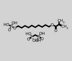 C=C(C)C(=O)OCCCCCCCCCCOP(=O)(O)O.O=P(O)(O)CP(=O)(O)O